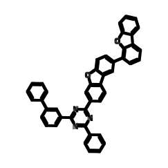 c1ccc(-c2cccc(-c3nc(-c4ccccc4)nc(-c4ccc5c(c4)oc4ccc(-c6cccc7c6oc6ccccc67)cc45)n3)c2)cc1